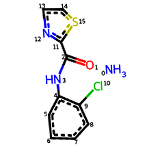 N.O=C(Nc1ccccc1Cl)c1nccs1